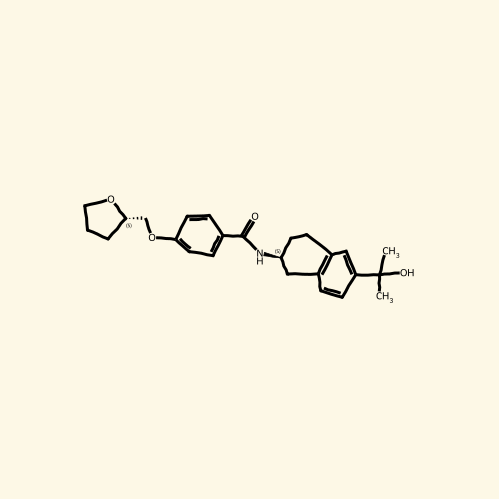 CC(C)(O)c1ccc2c(c1)CC[C@H](NC(=O)c1ccc(OC[C@@H]3CCCO3)cc1)C2